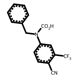 N#Cc1ccc(N(Cc2ccccc2)C(=O)O)cc1C(F)(F)F